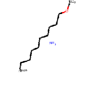 CCCCCCCCCCCCCCCCCCO[N+](=O)[O-].N